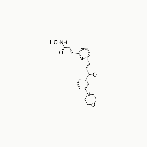 O=C(C=Cc1cccc(C=CC(=O)c2cccc(N3CCOCC3)c2)n1)NO